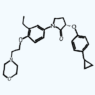 CCc1cc(N2CC[C@H](Oc3ccc(C4CC4)cc3)C2=O)ccc1OCCN1CCOCC1